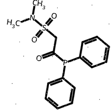 CN(C)S(=O)(=O)CC(=O)P(c1ccccc1)c1ccccc1